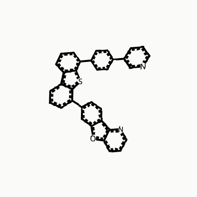 c1cncc(-c2ccc(-c3cccc4c3sc3c(-c5ccc6c(c5)oc5cccnc56)cccc34)cc2)c1